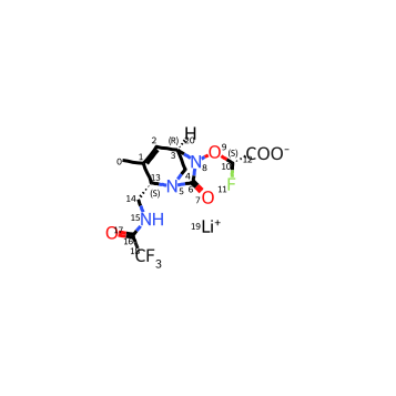 CC1=C[C@@H]2CN(C(=O)N2O[C@@H](F)C(=O)[O-])[C@@H]1CNC(=O)C(F)(F)F.[Li+]